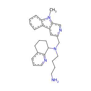 Cn1c2ccccc2c2cc(CN(CCCCN)C3CCCc4cccnc43)ncc21